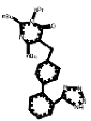 CCCCc1nc(CCCC)n(CCC)c(=O)c1Cc1ccc(-c2ccccc2-c2nnn[nH]2)cc1